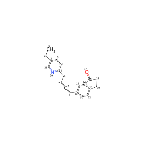 CCc1ccc(CC=C=Cc2ccc3c(c2)C(=O)CC3)nc1